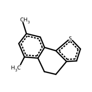 Cc1cc(C)c2c(c1)-c1sccc1CC2